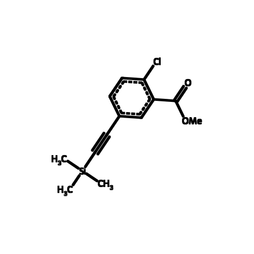 COC(=O)c1cc(C#C[Si](C)(C)C)ccc1Cl